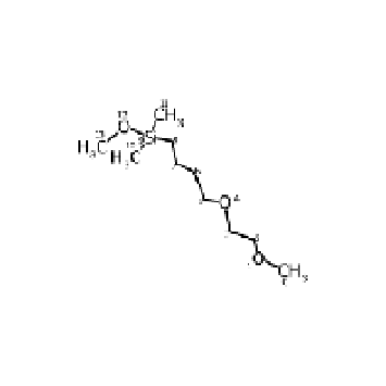 COCCOCCCC[Si](C)(C)OC